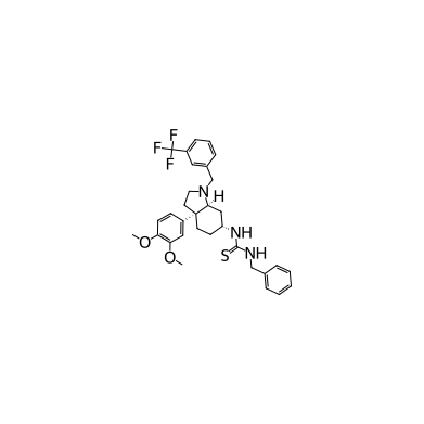 COc1ccc([C@@]23CC[C@@H](NC(=S)NCc4ccccc4)C[C@@H]2N(Cc2cccc(C(F)(F)F)c2)CC3)cc1OC